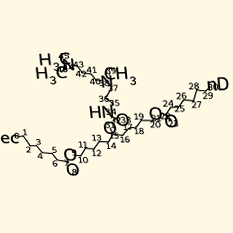 CCCCCCCCCCCCCCCCC(=O)OCCCCCC(CCCCCOC(=O)CCCCCCCCCCCCCCCC)OC(=O)NCCCN(C)CCCCN(C)C